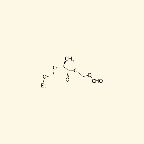 CCOCO[C@@H](C)C(=O)OCOC=O